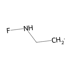 [CH2]CNF